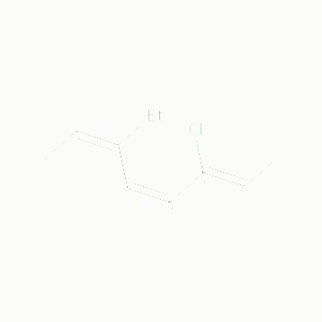 CC=C(Cl)/C=C\C(=C/C)CC